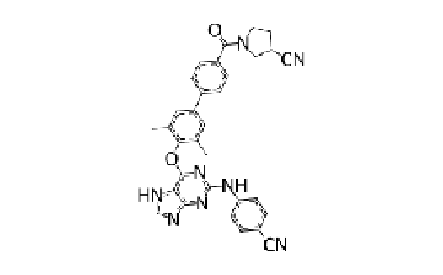 Cc1cc(-c2ccc(C(=O)N3CCC(C#N)C3)cc2)cc(C)c1Oc1nc(Nc2ccc(C#N)cc2)nc2nc[nH]c12